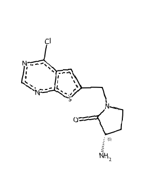 N[C@H]1CCN(Cc2cc3c(Cl)ncnc3s2)C1=O